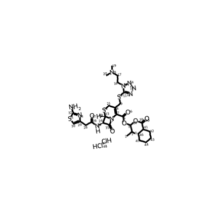 CC(C)C(OC(=O)C1=C(CSc2nnnn2CCN(C)C)CS[C@H]2[C@H](NC(=O)Cc3csc(N)n3)C(=O)N12)OC(=O)C1CCCCC1.Cl.Cl